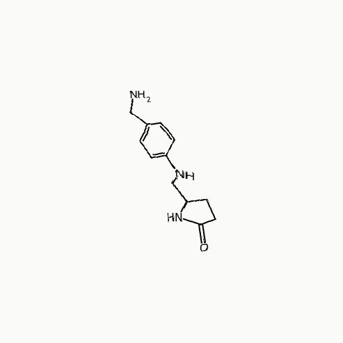 NCc1ccc(NCC2CCC(=O)N2)cc1